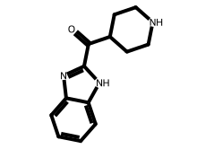 O=C(c1nc2ccccc2[nH]1)C1CCNCC1